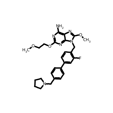 COCCOc1nc(N)c2nc(OC)n(Cc3ccc(-c4ccc(CN5CCCC5)cc4)cc3F)c2n1